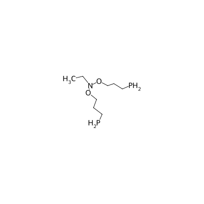 CCN(OCCCP)OCCCP